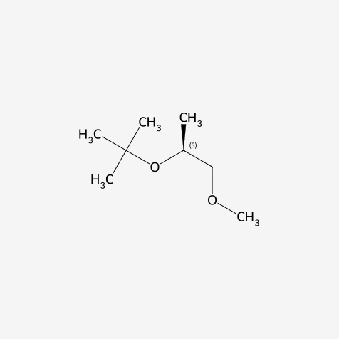 COC[C@H](C)OC(C)(C)C